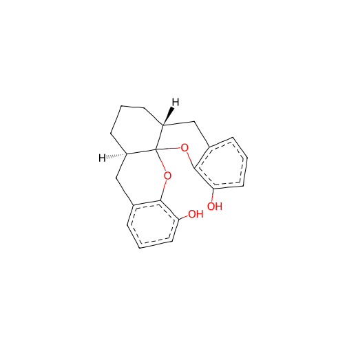 Oc1cccc2c1OC13Oc4c(O)cccc4C[C@H]1CCC[C@@H]3C2